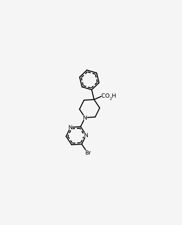 O=C(O)C1(c2ccccc2)CCN(c2nccc(Br)n2)CC1